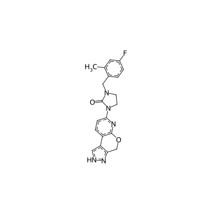 Cc1cc(F)ccc1CN1CCN(c2ccc3c(n2)OCc2n[nH]cc2-3)C1=O